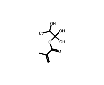 C=C(C)C(=O)OC(O)(O)C(O)CC